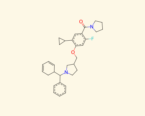 O=C(c1cc(C2CC2)c(OCC2CCN(C(c3ccccc3)C3C=CC=CC3)C2)cc1F)N1CCCC1